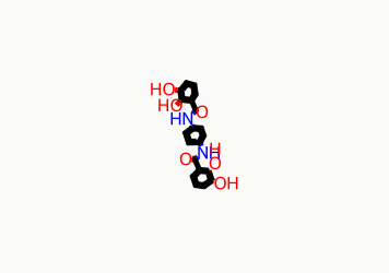 O=C(Nc1ccc(NC(=O)c2cccc(O)c2O)cc1)c1cccc(O)c1O